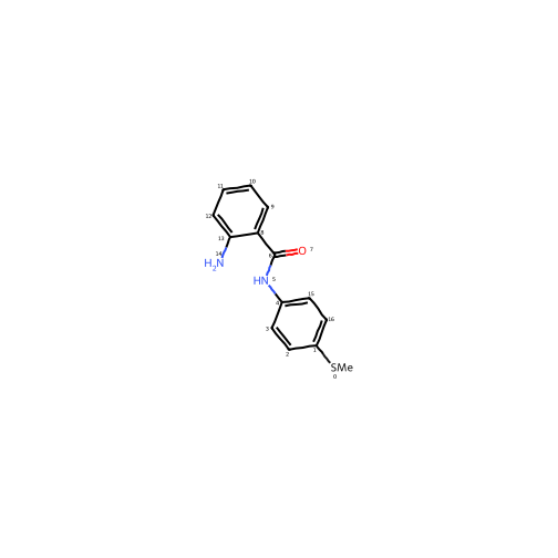 CSc1ccc(NC(=O)c2ccccc2N)cc1